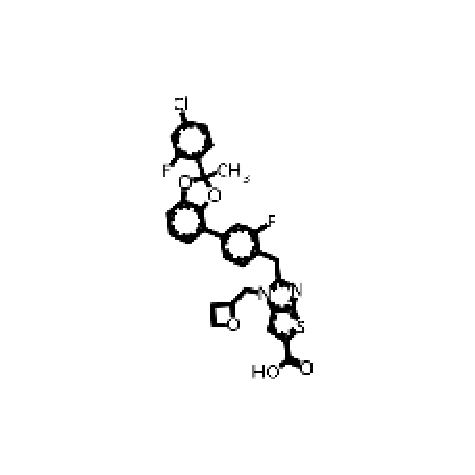 CC1(c2ccc(Cl)cc2F)Oc2cccc(-c3ccc(Cc4nc5sc(C(=O)O)cc5n4CC4CCO4)c(F)c3)c2O1